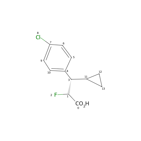 O=C(O)C(F)[C@H](c1ccc(Cl)cc1)C1CC1